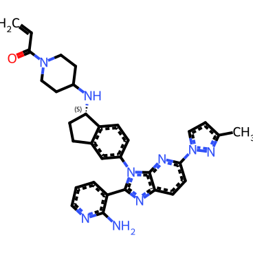 C=CC(=O)N1CCC(N[C@H]2CCc3cc(-n4c(-c5cccnc5N)nc5ccc(-n6ccc(C)n6)nc54)ccc32)CC1